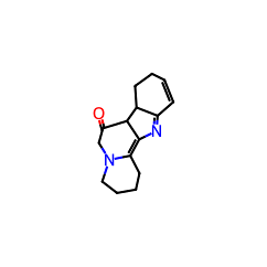 O=C1CN2CCCCC2=C2N=C3C=CCCC3C12